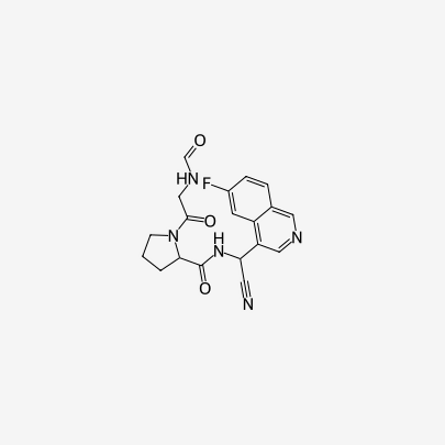 N#CC(NC(=O)C1CCCN1C(=O)CNC=O)c1cncc2ccc(F)cc12